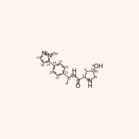 CC(NC(=O)C1C[C@@H](O)CN1)c1ccc(-c2ccnn2C)cc1